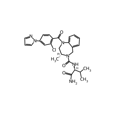 CC(C)[C@H](NC(=O)N1Cc2ccccc2N(C(=O)c2ccc(-n3cccn3)cc2Cl)C[C@H]1C)C(N)=O